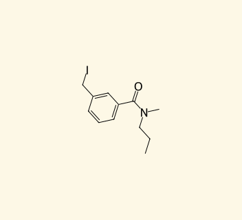 CCCN(C)C(=O)c1cccc(CI)c1